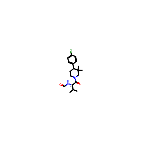 CC(C)[C@@H](NC=O)C(=O)N1CCC(c2ccc(Cl)cc2)C(C)(C)C1